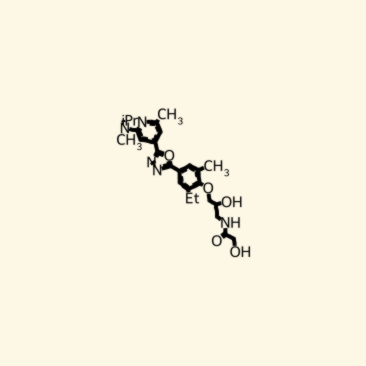 CCc1cc(-c2nnc(-c3cc(C)nc(N(C)C(C)C)c3)o2)cc(C)c1OCC(O)CNC(=O)CO